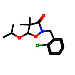 CC(C)OC1ON(Cc2ccccc2Cl)C(=O)C1(C)C